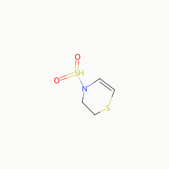 O=[SH](=O)N1C=CSCC1